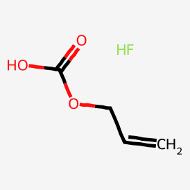 C=CCOC(=O)O.F